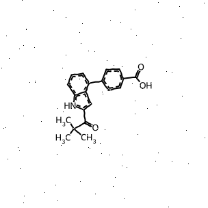 CC(C)(C)C(=O)c1cc2c(-c3ccc(C(=O)O)cc3)cccc2[nH]1